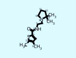 Cc1cc(C(=O)NCCN2CCCC2(C)C)sc1C